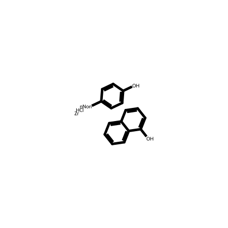 CCCCCCCCCc1ccc(O)cc1.Cl.Oc1cccc2ccccc12.[Zr]